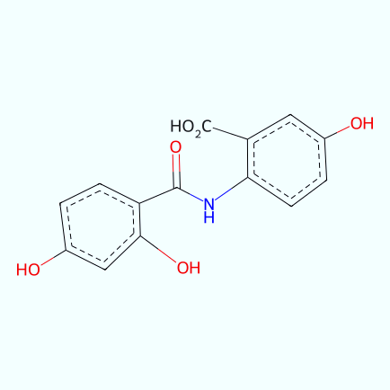 O=C(Nc1ccc(O)cc1C(=O)O)c1ccc(O)cc1O